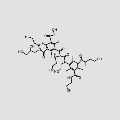 O=C(CO)c1c(I)c(C(=O)C(NCCO)C(=O)N(CCO)c2c(I)c(C(=O)NCCO)c(I)c(C(=O)NCCO)c2I)c(I)c(C(=O)N(CC(O)CO)NCCO)c1I